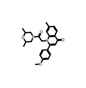 COc1ccc(-c2cc(=O)c3ccc(C)cc3n2CC(=O)N2CC(C)OC(C)C2)cc1